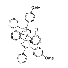 COc1ccc(C2=NC(c3ccccc3Cl)(C3(c4ccccc4Cl)N=C(c4ccccc4)C(c4ccc(OC)cc4)=N3)N=C2c2ccccc2)cc1